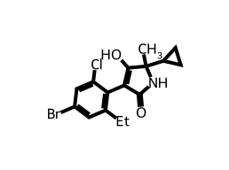 CCc1cc(Br)cc(Cl)c1C1=C(O)C(C)(C2CC2)NC1=O